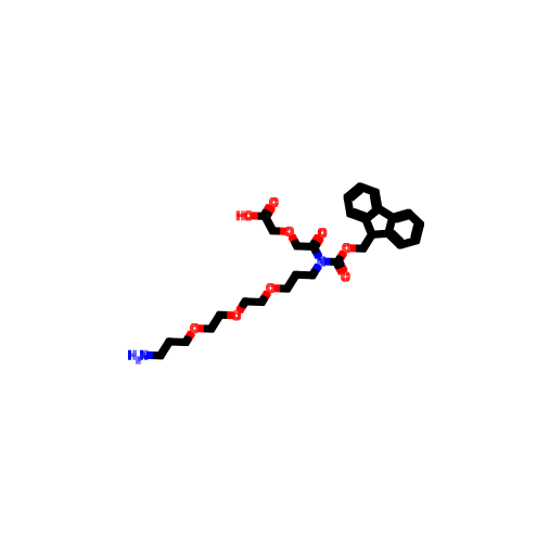 NCCCOCCOCCOCCCN(C(=O)COCC(=O)O)C(=O)OCC1c2ccccc2-c2ccccc21